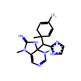 CN1C(=N)NC2(C(c3ncc[nH]3)C3(C)C=CC(C(F)(F)F)=CC3)C1=CN=CN2F